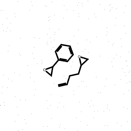 C=CCCC1CO1.c1ccc(C2CO2)cc1